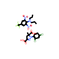 CC1(C(=O)O)CC(C(=O)O)=NN1c1ccc(Cl)cc1Cl.CCCN(CCC)c1c([N+](=O)[O-])cc(C(F)(F)F)cc1[N+](=O)[O-]